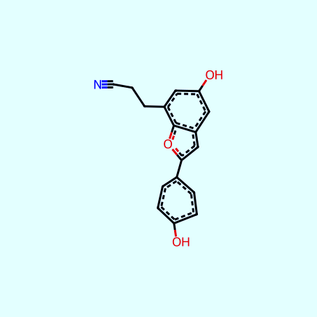 N#CCCc1cc(O)cc2cc(-c3ccc(O)cc3)oc12